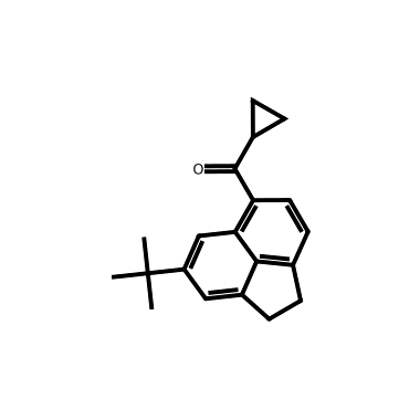 CC(C)(C)c1cc2c3c(ccc(C(=O)C4CC4)c3c1)CC2